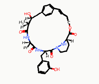 CC(C)[C@@H]1NC(=O)[C@H](C)[C@H](O)c2ccc(cc2)/C=C/CCOC(=O)[C@@H]2CCCN(N2)C(=O)[C@H](Cc2cccc(O)c2)NC1=O